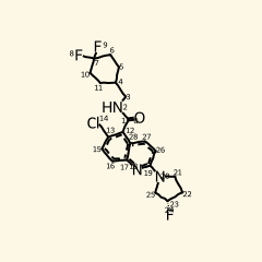 O=C(NCC1CCC(F)(F)CC1)c1c(Cl)ccc2nc(N3CC[C@H](F)C3)ccc12